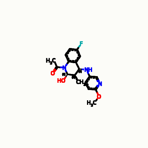 COc1ccc(N[C@H]2c3cc(F)ccc3N(C(C)=O)[C@@H](O)[C@@H]2C)cn1